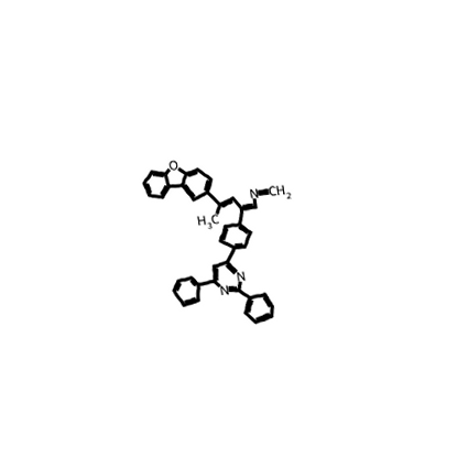 C=N/C=C(\C=C(/C)c1ccc2oc3ccccc3c2c1)c1ccc(-c2cc(-c3ccccc3)nc(-c3ccccc3)n2)cc1